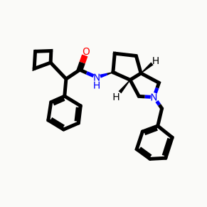 O=C(N[C@H]1CC[C@@H]2CN(Cc3ccccc3)C[C@@H]21)C(c1ccccc1)C1CCC1